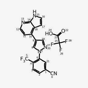 N#Cc1ccc(C(F)(F)F)c(-n2cc(-c3ccnc4[nH]ccc34)cn2)c1.O=C(O)C(F)(F)F